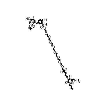 CCCCNC(=O)[C@H](CCCCNC(=O)COCCOCCOCCOCCOCCOCCOCCOCCOC(=O)Nc1cc(C[C@@H](C[C@H](C)C(=O)O)NC(=O)OC(C)(C)C)ccc1O)NC(=O)CN